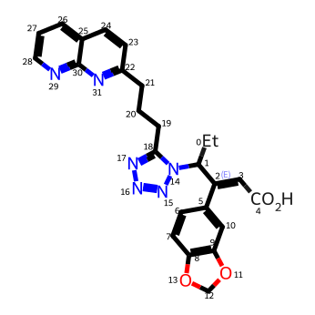 CCC(/C(=C/C(=O)O)c1ccc2c(c1)OCO2)n1nnnc1CCCc1ccc2cccnc2n1